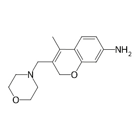 CC1=C(CN2CCOCC2)COc2cc(N)ccc21